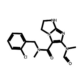 CN(Cc1ccccc1Cl)C(=O)c1c(N(C)C=O)nc2n1CCN2